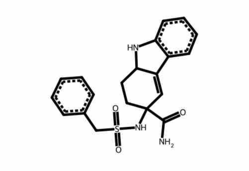 NC(=O)C1(NS(=O)(=O)Cc2ccccc2)C=C2c3ccccc3NC2CC1